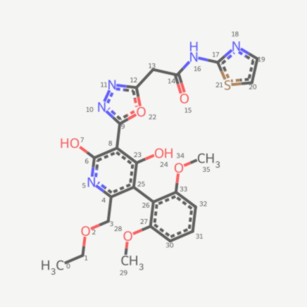 CCOCc1nc(O)c(-c2nnc(CC(=O)Nc3nccs3)o2)c(O)c1-c1c(OC)cccc1OC